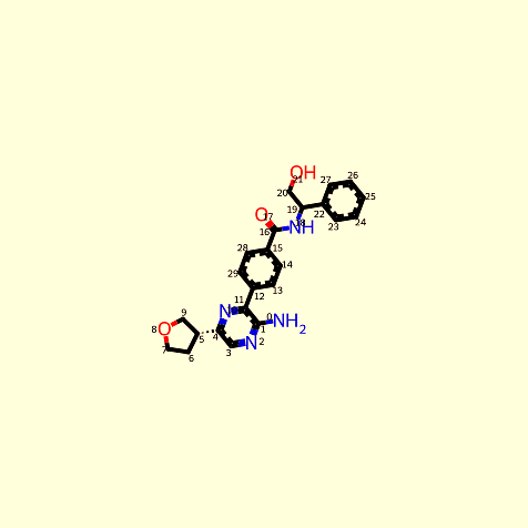 Nc1ncc([C@@H]2CCOC2)nc1-c1ccc(C(=O)NC(CO)c2ccccc2)cc1